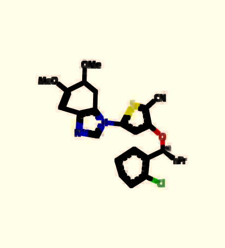 CCC[C@H](Oc1cc(-n2cnc3c2CC(OC)C(OC)=C3)sc1C#N)c1ccccc1Cl